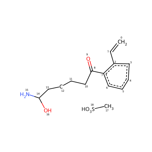 C=Cc1ccccc1C(=O)CCCCC(N)O.CS(=O)(=O)O